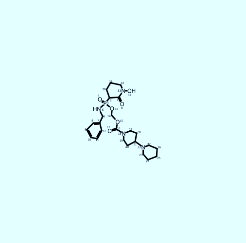 O=C1C(P(=O)(NCc2ccccc2)OCOC(=O)N2CCC(N3CCCCC3)CC2)CCCN1O